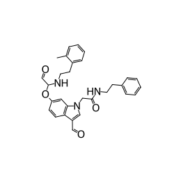 Cc1ccccc1CCNC(C=O)Oc1ccc2c(C=O)cn(CC(=O)NCCc3ccccc3)c2c1